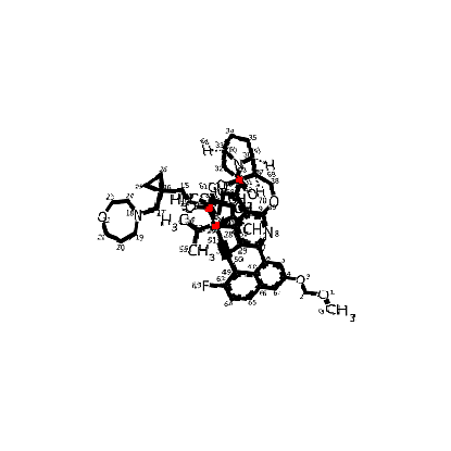 COCOc1cc(-c2nc3c4c(nc(OCC5(CN6CCCOCC6)CC5)nc4c2F)N2C[C@H]4CC[C@@H]([C@H]2CO3)N4C(=O)OC(C)(C)C)c2c(C#C[Si](C(C)C)(C(C)C)C(C)C)c(F)ccc2c1